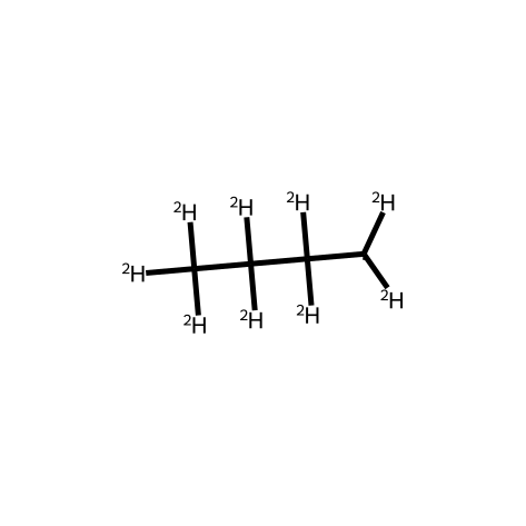 [2H][C]([2H])C([2H])([2H])C([2H])([2H])C([2H])([2H])[2H]